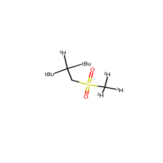 [2H]C(CS(=O)(=O)C([2H])([2H])[2H])(C(C)(C)C)C(C)(C)C